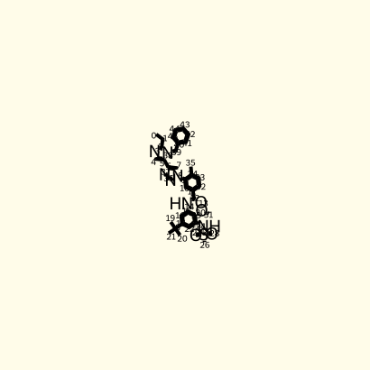 CCc1ncc(-c2cn(-c3cc(C(=O)Nc4cc(C(C)(C)C)cc(NS(C)(=O)=O)c4OC)ccc3C)nn2)n1Cc1ccccc1